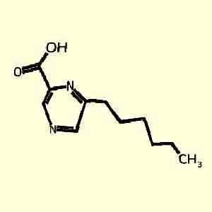 CCCCCCc1cncc(C(=O)O)n1